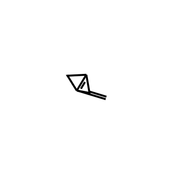 C=C1C2=C1C2